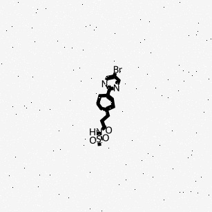 CS(=O)(=O)NC(=O)CCC1=CC=C(c2ncc(Br)cn2)CCC1